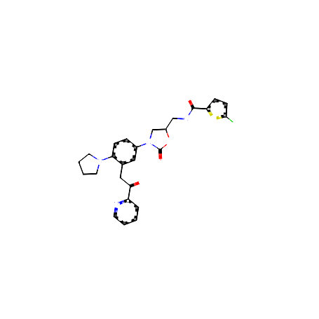 O=C(Cc1cc(N2CC(CNC(=O)c3ccc(Cl)s3)OC2=O)ccc1N1CCCC1)c1ccccn1